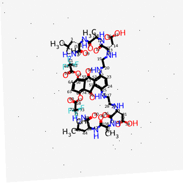 CC(C)C[C@H](NC(=O)[C@H](C)NC(=O)[C@H](CC(=O)O)NCCNc1ccc(NCCN[C@@H](CC(=O)O)C(=O)N[C@@H](C)C(=O)N[C@@H](CC(C)C)C(N)=O)c2c1C(=O)c1c(OC(=O)C(F)(F)F)ccc(OC(=O)C(F)(F)F)c1C2=O)C(N)=O